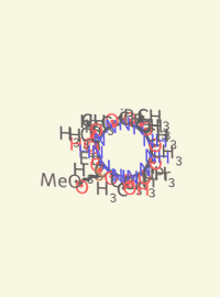 C/C=C/C[C@@H](C)[C@@H](O)[C@H]1C(=O)N[C@@H](CC)C(=O)N(C)[C@H](CSCCCCC(=O)OC)C(=O)N(C)[C@@H](CC(C)(C)O)C(=O)N[C@H](C(C)C)C(=O)N(C)[C@H](CC(C)C)C(=O)N[C@H](C)C(=O)N[C@@H](C)C(=O)N(C)[C@@H](C=C(C)C)C(=O)N(C)[C@@H](CC(C)C)C(=O)N(C)[C@@H](C(C)C)C(=O)N1C